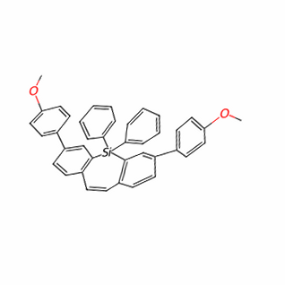 COc1ccc(-c2ccc3c(c2)[Si](c2ccccc2)(c2ccccc2)c2cc(-c4ccc(OC)cc4)ccc2C=C3)cc1